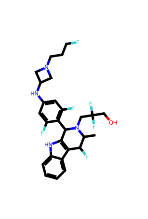 CC1C(F)c2c([nH]c3ccccc23)C(c2c(F)cc(NC3CN(CCCF)C3)cc2F)N1CC(F)(F)CO